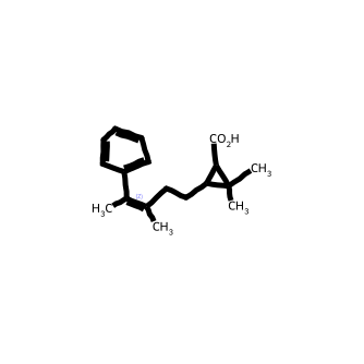 C/C(CCC1C(C(=O)O)C1(C)C)=C(\C)c1ccccc1